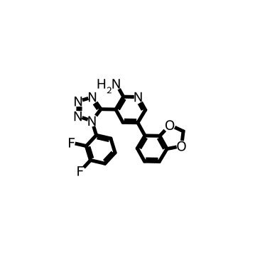 Nc1ncc(-c2cccc3c2OCO3)cc1-c1nnnn1-c1cccc(F)c1F